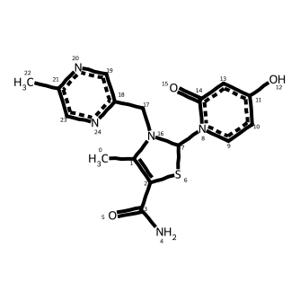 CC1=C(C(N)=O)SC(n2ccc(O)cc2=O)N1Cc1cnc(C)cn1